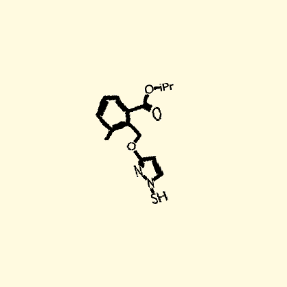 Cc1cccc(C(=O)OC(C)C)c1COc1ccn(S)n1